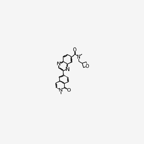 CN(CC1COC1)C(=O)c1ccc2ncc(-c3ccc4c(=O)n(C)ccc4c3)nc2c1